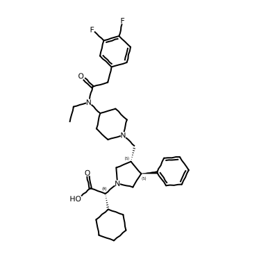 CCN(C(=O)Cc1ccc(F)c(F)c1)C1CCN(C[C@H]2CN([C@@H](C(=O)O)C3CCCCC3)C[C@@H]2c2ccccc2)CC1